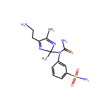 CC1(N(C(N)=S)c2cccc(S(N)(=O)=O)c2)N=C(CCN)C([N+](=O)[O-])=N1